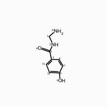 NCNC(=O)c1ccc(O)cc1